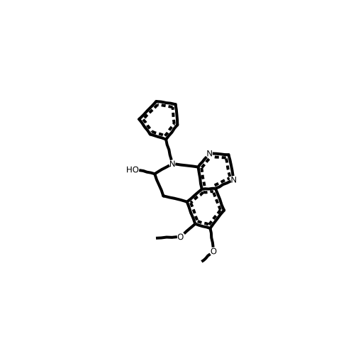 COc1cc2ncnc3c2c(c1OC)CC(O)N3c1ccccc1